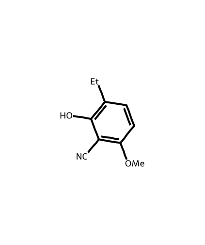 CCc1ccc(OC)c(C#N)c1O